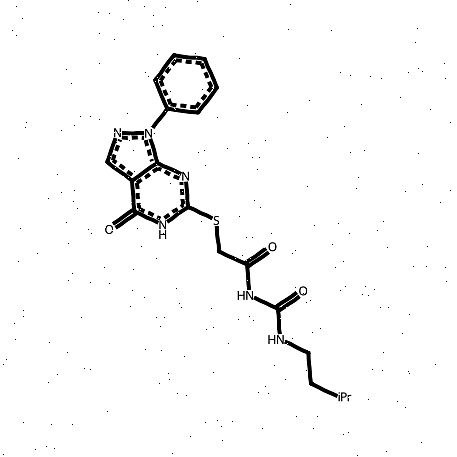 CC(C)CCNC(=O)NC(=O)CSc1nc2c(cnn2-c2ccccc2)c(=O)[nH]1